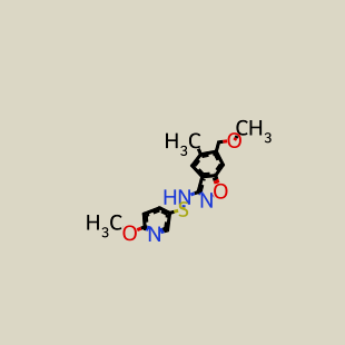 COCc1cc2onc(NSc3ccc(OC)nc3)c2cc1C